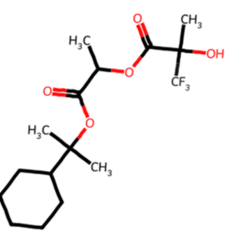 CC(OC(=O)C(C)(O)C(F)(F)F)C(=O)OC(C)(C)C1CCCCC1